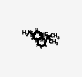 CC(C)(C)N1CCCc2cc(N)ccc21